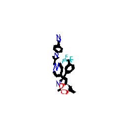 CCC[C@@H](CC(C#N)(c1cccc(C(F)(F)F)c1)C1CCN(CC2CN(c3ccc(C#N)cc3)C2)CC1)OC(C)=O